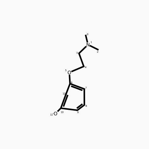 CN(C)CCOc1cccc([O])c1